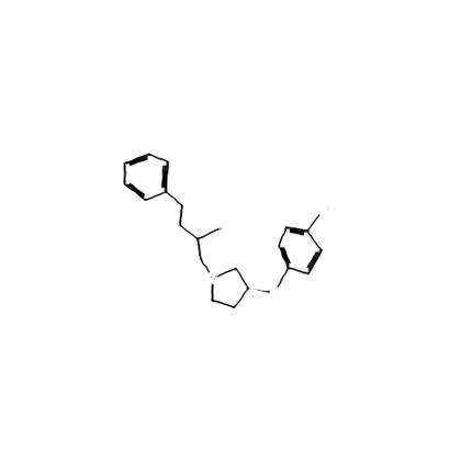 Oc1ccc(S[C@H]2CCN(CC(F)CCc3ccccc3)C2)cc1